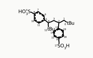 CC(C)(C)CC(CC(c1ccc(S(=O)(=O)O)cc1)C(C)(C)C)c1ccc(S(=O)(=O)O)cc1